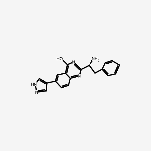 N[C@@H](Cc1ccccc1)c1nc(O)c2cc(-c3cn[nH]c3)ccc2n1